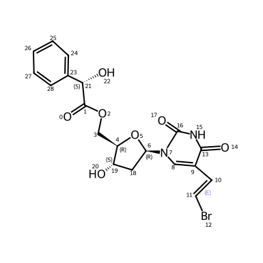 O=C(OC[C@H]1O[C@@H](n2cc(/C=C/Br)c(=O)[nH]c2=O)C[C@@H]1O)[C@@H](O)c1ccccc1